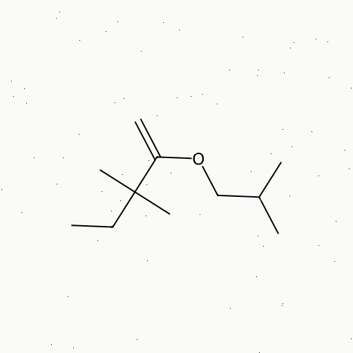 C=C(OCC(C)C)C(C)(C)CC